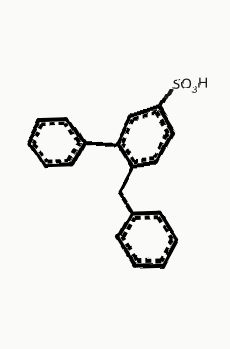 O=S(=O)(O)c1ccc(Cc2ccccc2)c(-c2ccccc2)c1